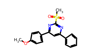 COc1ccc(-c2cc(-c3ccccc3)nc(S(C)(=O)=O)n2)cc1